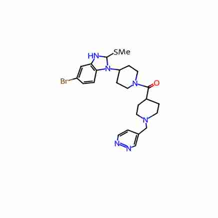 CSC1Nc2cc(Br)ccc2N1C1CCN(C(=O)C2CCN(Cc3ccnnc3)CC2)CC1